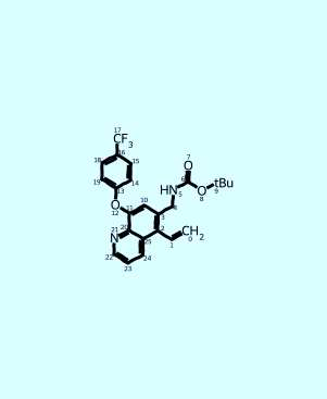 C=Cc1c(CNC(=O)OC(C)(C)C)cc(Oc2ccc(C(F)(F)F)cc2)c2ncccc12